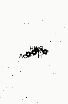 CC(=O)c1ccc(-c2ccc3c(NC(=O)C4CCCC4)n[nH]c3c2)cc1